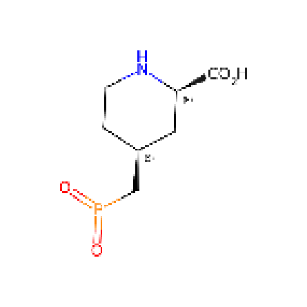 O=C(O)[C@H]1C[C@@H](CP(=O)=O)CCN1